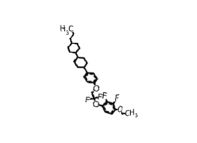 CCCC1CCC(C2CCC(c3ccc(OCC(F)(F)Oc4ccc(OCC)c(F)c4F)cc3)CC2)CC1